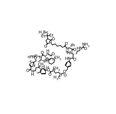 BSC(CC)(CC)C1CC(=O)N(CCCCCC(=O)N[C@@H](C(=O)N[C@H](CCCNC(N)=O)C(=O)Nc2ccc(COC(=O)N(C)CCN(C)C(=O)Oc3ccc(C[C@@H](C[C@H](C)C(=O)O)NC(=O)c4csc([C@@H](C[C@H](C(C)C)N(CCC)C(=O)[C@@H](NC(=O)[C@H]5CCCCN5C)[C@@H](C)CC)OCCC)n4)cc3)cc2)C(C)C)C1=O